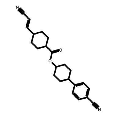 N#C/C=C/C1CCC(C(=O)OC2CCC(c3ccc(C#N)cc3)CC2)CC1